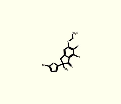 CC1(c2ccc(Br)s2)Cc2cc(OCC(=O)O)c(Cl)c(Cl)c2C1=O